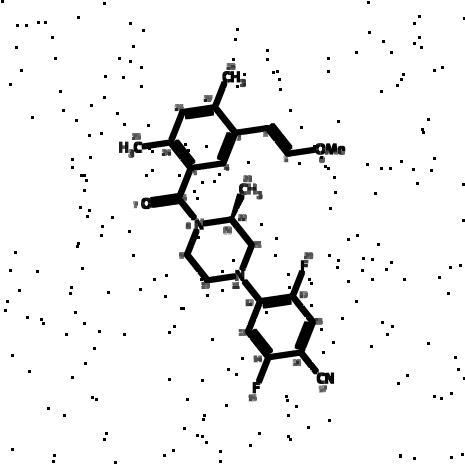 COC=Cc1cc(C(=O)N2CCN(c3cc(F)c(C#N)cc3F)C[C@@H]2C)c(C)cc1C